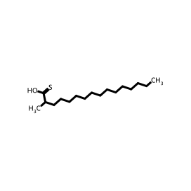 CCCCCCCCCCCCCCC(C)C(O)=S